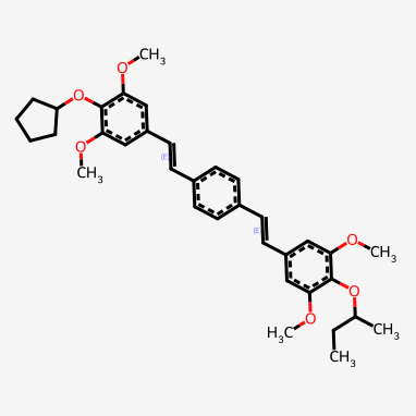 CCC(C)Oc1c(OC)cc(/C=C/c2ccc(/C=C/c3cc(OC)c(OC4CCCC4)c(OC)c3)cc2)cc1OC